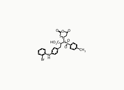 Cc1ccc(S(=O)(=O)N([C@@H](Cc2ccc(Nc3ccccc3Br)cc2)C(=O)O)N2CC(=O)OC(=O)S2)cc1